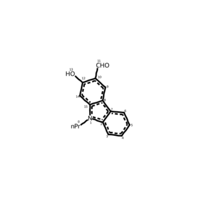 CCCn1c2ccccc2c2cc(C=O)c(O)cc21